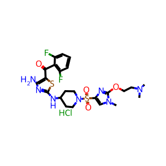 CN(C)CCOc1nc(S(=O)(=O)N2CCC(Nc3nc(N)c(C(=O)c4c(F)cccc4F)s3)CC2)cn1C.Cl